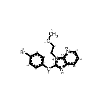 COCCn1c(Oc2ccc(Br)cc2)nc2cccnc21